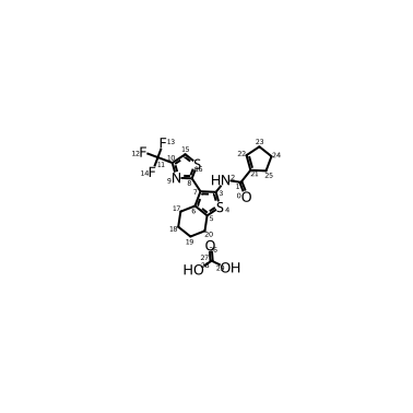 O=C(Nc1sc2c(c1-c1nc(C(F)(F)F)cs1)CCCC2)C1=CCCC1.O=C(O)O